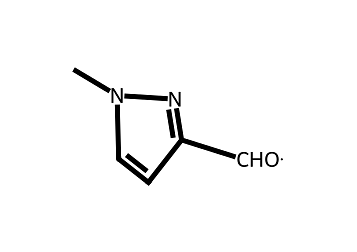 Cn1ccc([C]=O)n1